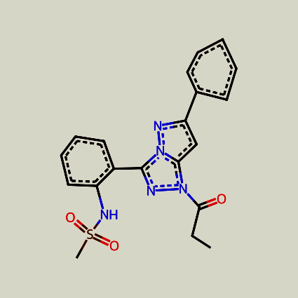 CCC(=O)n1nc(-c2ccccc2NS(C)(=O)=O)n2nc(-c3ccccc3)cc12